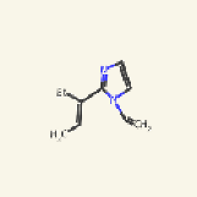 C=Cn1ccnc1C(=CC)CC